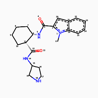 Cn1c(C(=O)N[C@H]2CCCC[C@H]2C(=O)NC2CCNC2)cc2ccccc21